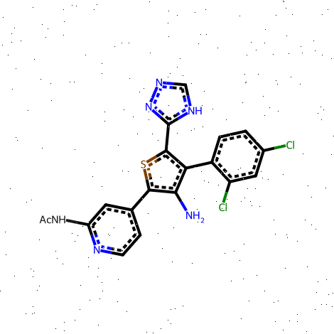 CC(=O)Nc1cc(-c2sc(-c3nnc[nH]3)c(-c3ccc(Cl)cc3Cl)c2N)ccn1